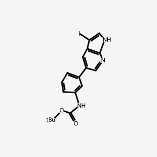 CC(C)(C)OC(=O)Nc1cccc(-c2cnc3[nH]cc(I)c3c2)c1